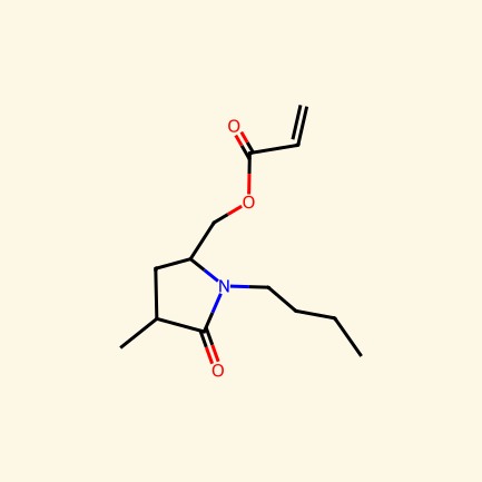 C=CC(=O)OCC1CC(C)C(=O)N1CCCC